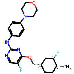 C[C@@H]1CC[C@H](COc2nc(Nc3ccc(N4CCOCC4)cc3)ncc2F)C[C@H]1F